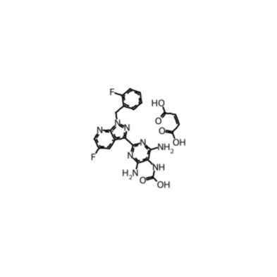 Nc1nc(-c2nn(Cc3ccccc3F)c3ncc(F)cc23)nc(N)c1NC(=O)O.O=C(O)/C=C\C(=O)O